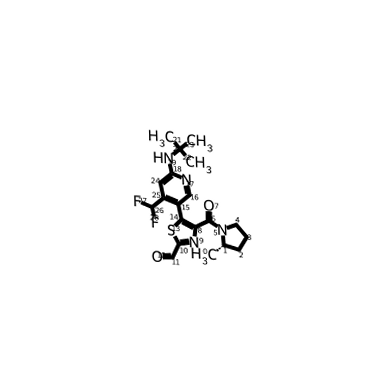 C[C@H]1CCCN1C(=O)c1nc(C=O)sc1-c1cnc(NC(C)(C)C)cc1C(F)F